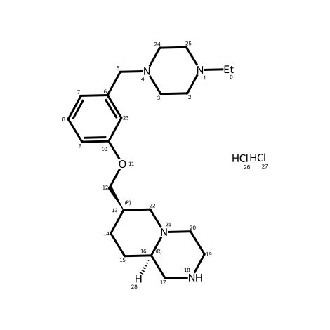 CCN1CCN(Cc2cccc(OC[C@@H]3CC[C@@H]4CNCCN4C3)c2)CC1.Cl.Cl